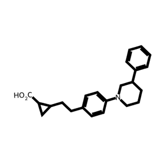 O=C(O)C1CC1CCc1ccc(N2CCCC(c3ccccc3)C2)cc1